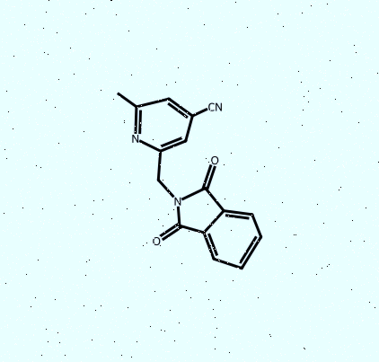 Cc1cc(C#N)cc(CN2C(=O)c3ccccc3C2=O)n1